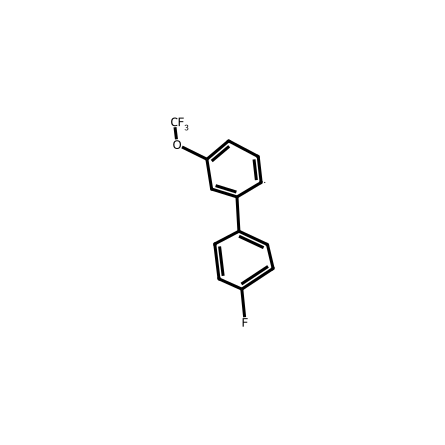 Fc1ccc(-c2[c]ccc(OC(F)(F)F)c2)cc1